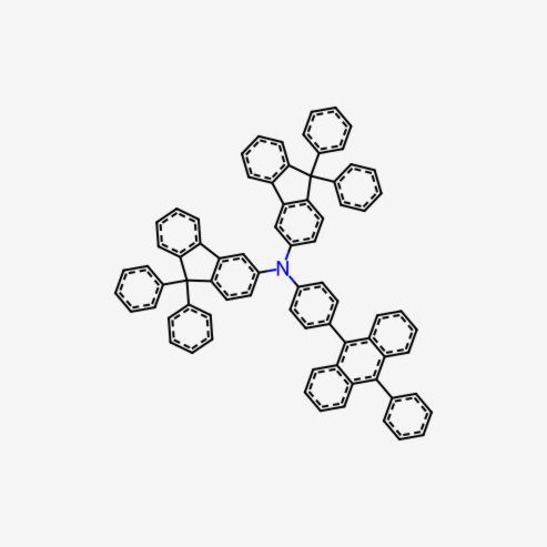 c1ccc(-c2c3ccccc3c(-c3ccc(N(c4ccc5c(c4)-c4ccccc4C5(c4ccccc4)c4ccccc4)c4ccc5c(c4)-c4ccccc4C5(c4ccccc4)c4ccccc4)cc3)c3ccccc23)cc1